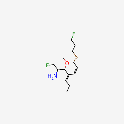 CC/C=C(\C=C/CSCCCF)[C@@H](OC)C(N)CF